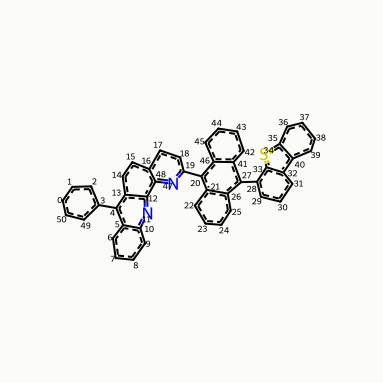 c1ccc(-c2c3ccccc3nc3c2ccc2ccc(-c4c5ccccc5c(-c5cccc6c5sc5ccccc56)c5ccccc45)nc23)cc1